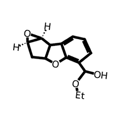 CCOC(O)c1cccc2c1OC1C[C@H]3O[C@H]3C21